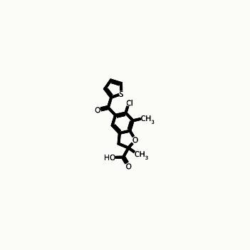 Cc1c(Cl)c(C(=O)c2cccs2)cc2c1OC(C)(C(=O)O)C2